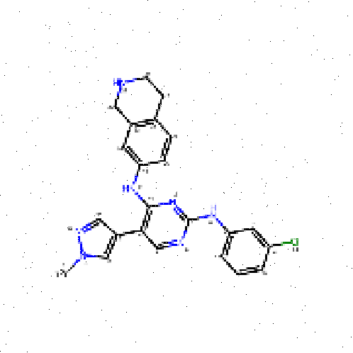 CCCn1cc(-c2cnc(Nc3cccc(Cl)c3)nc2Nc2ccc3c(c2)CNCC3)cn1